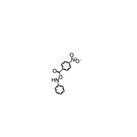 O=C(ONc1ccccc1)c1ccc([N+](=O)[O-])cc1